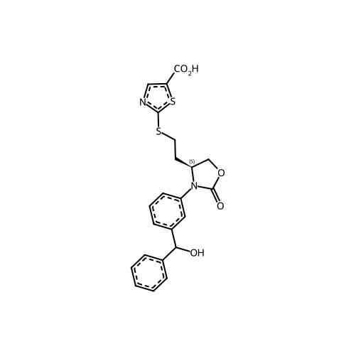 O=C(O)c1cnc(SCC[C@H]2COC(=O)N2c2cccc(C(O)c3ccccc3)c2)s1